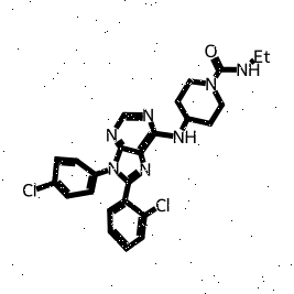 CCNC(=O)N1CCC(Nc2ncnc3c2nc(-c2ccccc2Cl)n3-c2ccc(Cl)cc2)CC1